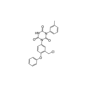 Cc1cccc(-n2c(=O)[nH]c(=O)n(-c3ccc(Oc4ccccc4)c(CCl)c3)c2=O)c1